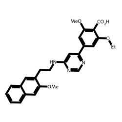 CCOc1cc(-c2cc(NCCc3cc4ccccc4cc3OC)ncn2)cc(OC)c1C(=O)O